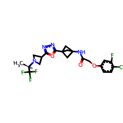 C[C@@H](N1CC(c2nnc(C34CC(NC(=O)COc5ccc(Cl)c(F)c5)(C3)C4)o2)C1)C(F)(F)F